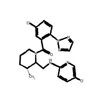 C[C@@H]1CCCN(C(=O)c2cc(Cl)ccc2-n2nccn2)C1CNc1ccc(Cl)cn1